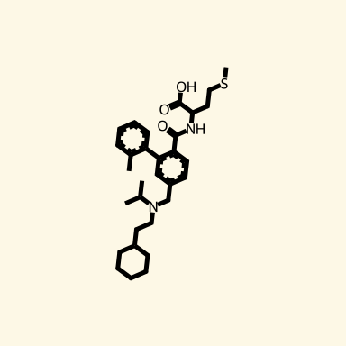 CSCCC(NC(=O)c1ccc(CN(CCC2CCCCC2)C(C)C)cc1-c1ccccc1C)C(=O)O